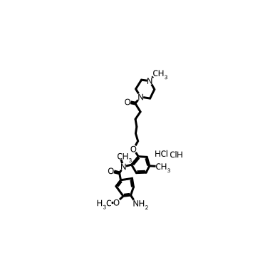 COc1cc(C(=O)N(C)c2ccc(C)cc2OCCCCCC(=O)N2CCN(C)CC2)ccc1N.Cl.Cl